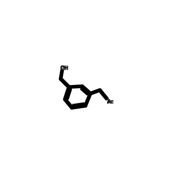 CC(=O)Cc1cccc(CO)c1